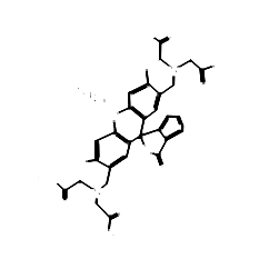 Cl.O=C(O)CN(CC(=O)O)Cc1cc2c(cc1O)Oc1cc(O)c(CN(CC(=O)O)CC(=O)O)cc1C21OC(=O)c2ccccc21.[NaH].[NaH]